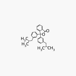 CC(C)Cc1cccc(C2(c3cccc(CC(C)C)c3)OC(=O)c3ccccc32)c1